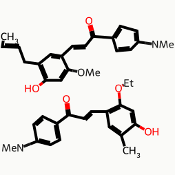 CC=CCc1cc(C=CC(=O)c2ccc(NC)cc2)c(OC)cc1O.CCOc1cc(O)c(C)cc1C=CC(=O)c1ccc(NC)cc1